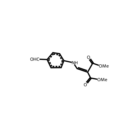 COC(=O)C(=CNc1ccc(C=O)cc1)C(=O)OC